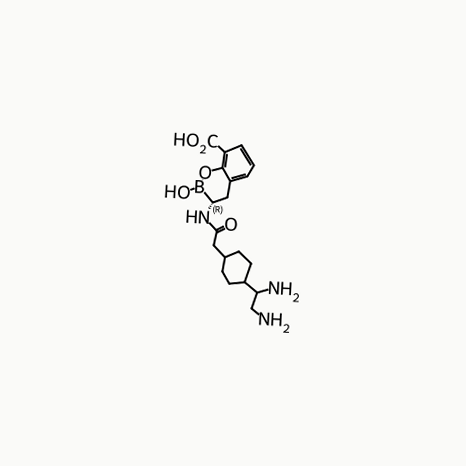 NCC(N)C1CCC(CC(=O)N[C@H]2Cc3cccc(C(=O)O)c3OB2O)CC1